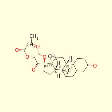 CCOCO[C@]1(C(=O)COC(C)=O)CC[C@H]2[C@@H]3CCC4=CC(=O)CC[C@]4(C)[C@H]3CC[C@@]21C